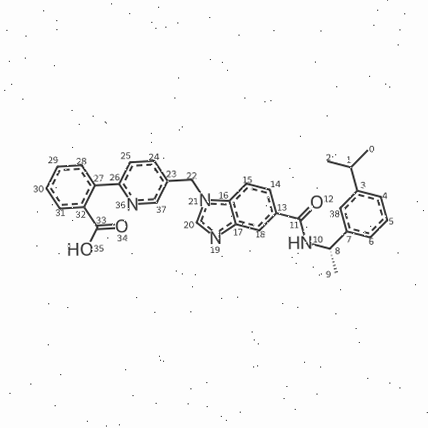 CC(C)c1cccc([C@H](C)NC(=O)c2ccc3c(c2)ncn3Cc2ccc(-c3ccccc3C(=O)O)nc2)c1